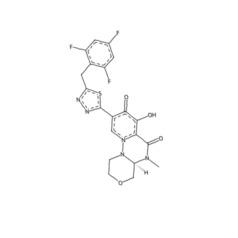 CN1C(=O)c2c(O)c(=O)c(-c3nnc(Cc4c(F)cc(F)cc4F)s3)cn2N2CCOC[C@H]12